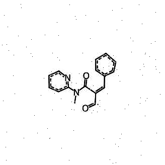 CN(C(=O)C([C]=O)=Cc1ccccc1)c1ccccn1